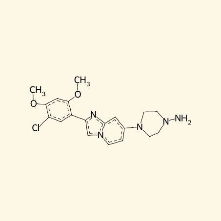 COc1cc(OC)c(-c2cn3ccc(N4CCN(N)CC4)cc3n2)cc1Cl